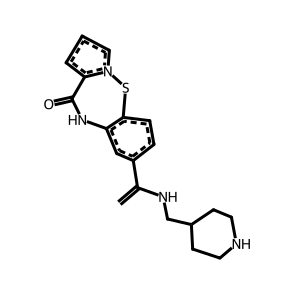 C=C(NCC1CCNCC1)c1ccc2c(c1)NC(=O)c1cccn1S2